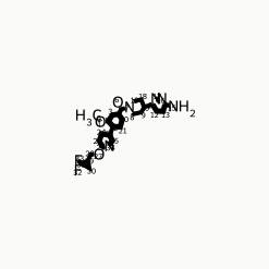 COc1cc(C(=O)N2CCC(c3ccc(N)nn3)CC2)ccc1-c1ccc(OCC2CC2(F)F)nc1